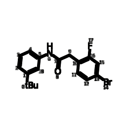 CC(C)(C)c1cccc(NC(=O)Cc2ccc(Br)cc2F)c1